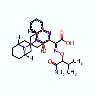 CC(C)C(O/N=C(\C(=O)O)c1nc2ccccc2n(C2C[C@H]3CCC[C@@H](C2)N3C2C[C@H]3CCC[C@@H](C2)C3)c1=O)C(N)=O